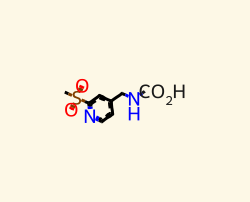 CS(=O)(=O)c1cc(CNC(=O)O)ccn1